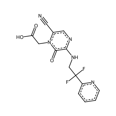 N#Cc1cnc(NCC(F)(F)c2ccccn2)c(=O)n1CC(=O)O